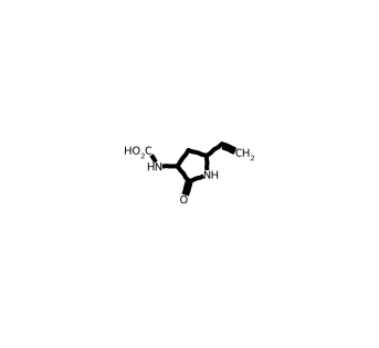 C=CC1CC(NC(=O)O)C(=O)N1